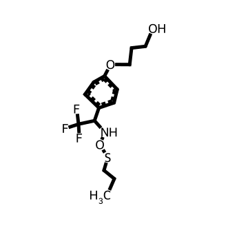 CCCSONC(c1ccc(OCCCO)cc1)C(F)(F)F